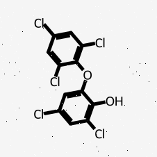 Oc1c(Cl)cc(Cl)cc1Oc1c(Cl)cc(Cl)cc1Cl